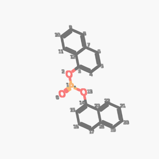 O=[P](Oc1cccc2ccccc12)Oc1cccc2ccccc12